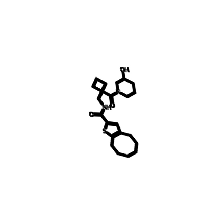 O=C(NCC1(C(=O)N2CCCC(O)C2)CCC1)c1cc2c(s1)CCCCCC2